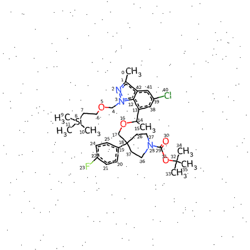 Cc1nn(COCC[Si](C)(C)C)c2c(C(C)OCC3(c4ccc(F)cc4)CCN(C(=O)OC(C)(C)C)CC3)cc(Cl)cc12